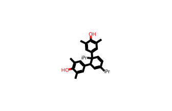 Cc1cc(C2C=C(C(C)C)C=CC2(c2cc(C)c(O)c(C)c2)C(C)C)cc(C)c1O